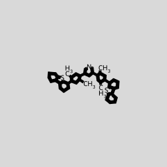 Cc1cc(-c2cccc3c2sc2ccccc23)c(C)cc1-c1cncc(-c2cc(C)c(-c3cccc4c3sc3ccccc34)cc2C)c1